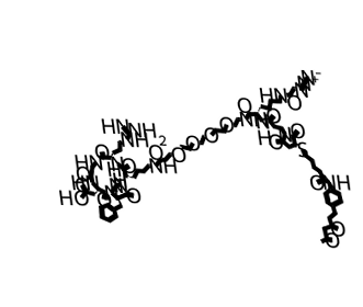 CC(=O)CC(=O)CCc1ccc(NC(=O)CCCCSC2CC(=O)N(CCC(=O)N[C@@H](CCCCNC(=O)CN=[N+]=[N-])C(=O)NCCOCCOCCOCCOCCC(=O)NCCCC[C@H]3C(=O)N[C@@H](CCCNC(=N)N)C(=O)NCC(=O)N[C@@H](CC(=O)O)C(=O)N4NN3C(=O)[C@H]4Cc3ccccc3)C2=O)cc1